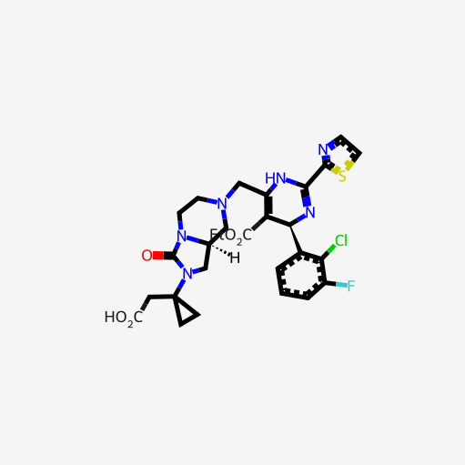 CCOC(=O)C1=C(CN2CCN3C(=O)N(C4(CC(=O)O)CC4)C[C@@H]3C2)NC(c2nccs2)=N[C@H]1c1cccc(F)c1Cl